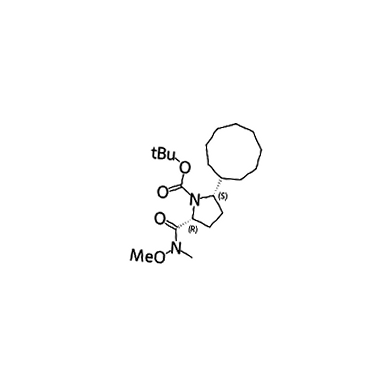 CON(C)C(=O)[C@H]1CC[C@@H](C2CCCCCCCC2)N1C(=O)OC(C)(C)C